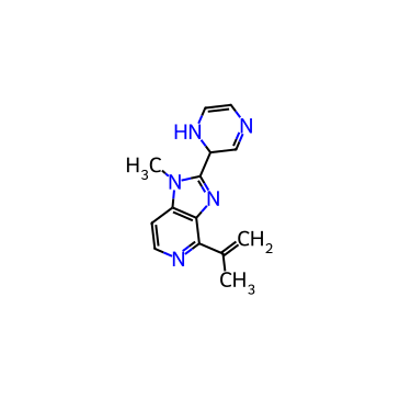 C=C(C)c1nccc2c1nc(C1C=NC=CN1)n2C